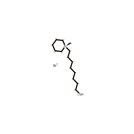 C[N+]1(CCCCCCCCS)CCCCC1.[Br-]